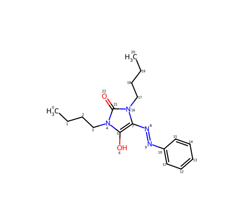 CCCCn1c(O)c(N=Nc2ccccc2)n(CCCC)c1=O